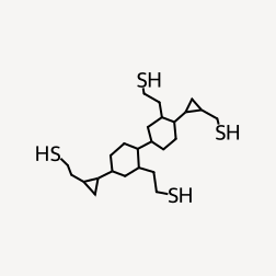 SCCC1CC(C2CC2CCS)CCC1C1CCC(C2CC2CS)C(CCS)C1